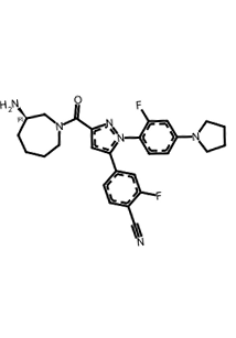 N#Cc1ccc(-c2cc(C(=O)N3CCCC[C@@H](N)C3)nn2-c2ccc(N3CCCC3)cc2F)cc1F